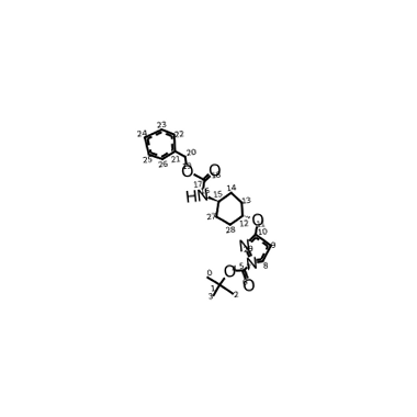 CC(C)(C)OC(=O)n1ccc(O[C@H]2CC[C@H](NC(=O)OCc3ccccc3)CC2)n1